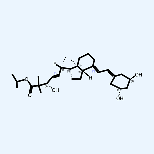 CC(C)OC(=O)C(C)(C)[C@@H](O)/C=C/[C@@](C)(F)[C@H]1CC[C@H]2/C(=C/C=C3C[C@@H](O)C[C@H](O)C3)CCC[C@@]21C